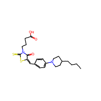 CCCCC1CCN(c2ccc(C=C3SC(=S)N(CCCC(=O)O)C3=O)cc2)CC1